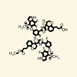 CCOC(=O)CCc1cccc2c1OCCC2(C)c1coc(-c2cc(Oc3c(F)c(F)c4[nH]ccc4c3S(C)(=O)=O)ccc2F)n1.C[C@]1(c2coc(-c3cc(Oc4c(F)c(F)c5[nH]ccc5c4S(C)(=O)=O)ccc3F)n2)CCOc2c(CCC(=O)O)cccc21